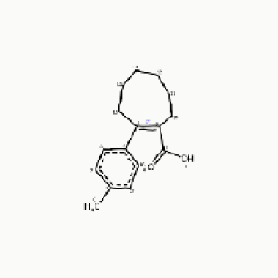 Cc1ccc(/C2=C(\C(=O)O)CCCCCC2)cc1